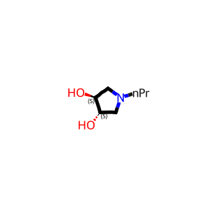 CCCN1C[C@H](O)[C@@H](O)C1